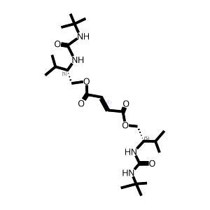 CC(C)[C@@H](COC(=O)/C=C/C(=O)OC[C@@H](NC(=O)NC(C)(C)C)C(C)C)NC(=O)NC(C)(C)C